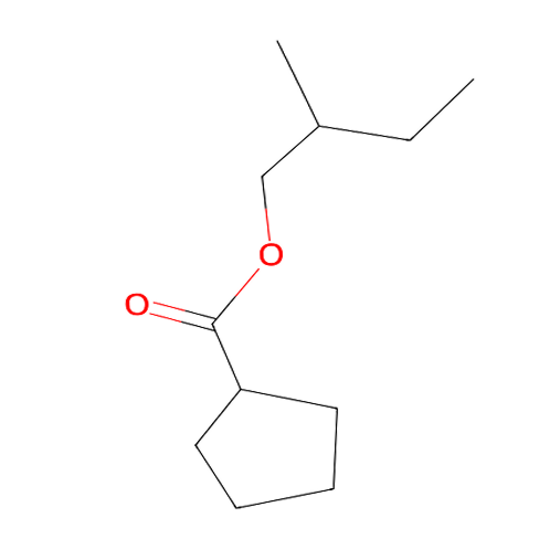 CCC(C)COC(=O)C1CCCC1